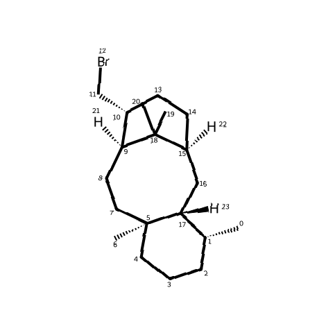 C[C@@H]1CCC[C@@]2(C)CC[C@H]3[C@H](CBr)CC[C@@H](C[C@H]12)C3(C)C